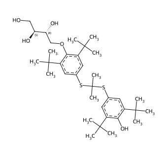 CC(C)(Sc1cc(C(C)(C)C)c(O)c(C(C)(C)C)c1)Sc1cc(C(C)(C)C)c(OC[C@@H](O)[C@@H](O)CO)c(C(C)(C)C)c1